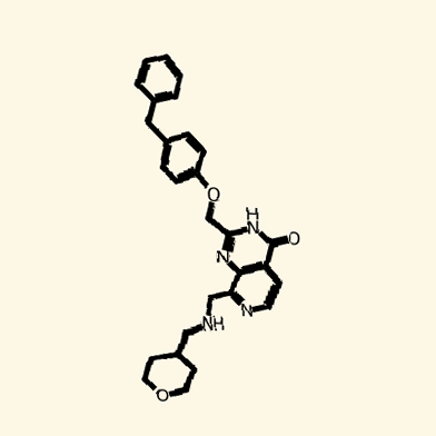 O=c1[nH]c(COc2ccc(Cc3ccccc3)cc2)nc2c(CNCC3CCOCC3)nccc12